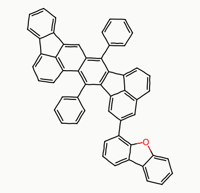 c1ccc(-c2c3cc4c5ccccc5c5cccc(c3c(-c3ccccc3)c3c6cc(-c7cccc8c7oc7ccccc78)cc7cccc(c23)c76)c54)cc1